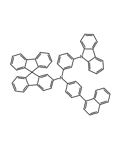 c1cc(N(c2ccc(-c3cccc4ccccc34)cc2)c2ccc3c(c2)C2(c4ccccc4-c4ccccc42)c2ccccc2-3)cc(-n2c3ccccc3c3ccccc32)c1